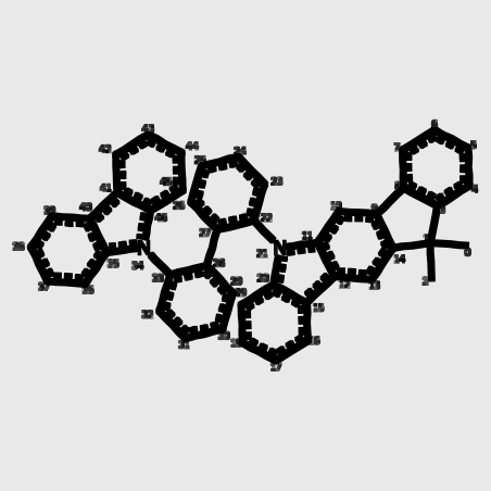 CC1(C)c2ccccc2-c2cc3c(cc21)c1ccccc1n3-c1ccccc1-c1ccccc1-n1c2ccccc2c2ccccc21